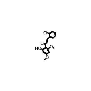 COc1cc(O)c(C(=O)C=Cc2ccccc2Cl)c(OC)c1